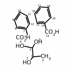 CC(O)C(O)O.O=C(O)c1ccccc1.O=C(O)c1ccccc1